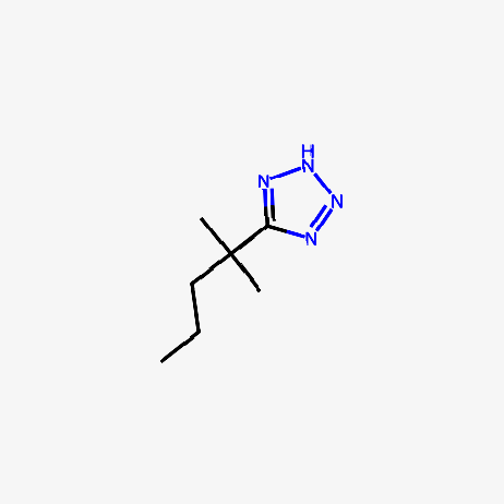 CCCC(C)(C)c1nn[nH]n1